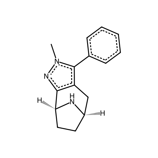 Cn1nc2c(c1-c1ccccc1)C[C@H]1CC[C@@H]2N1